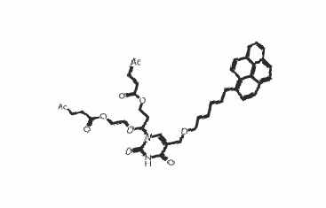 CC(=O)CCC(=O)OCCOC(CCOC(=O)CCC(C)=O)n1cc(COCCCCCCc2ccc3ccc4cccc5ccc2c3c45)c(=O)[nH]c1=O